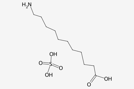 NCCCCCCCCCCC(=O)O.O=S(=O)(O)O